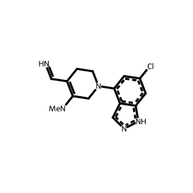 CNC1=C(C=N)CCN(c2cc(Cl)cc3[nH]ncc23)C1